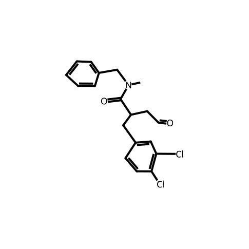 CN(Cc1ccccc1)C(=O)C(CC=O)Cc1ccc(Cl)c(Cl)c1